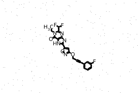 CCn1c(C(F)F)nc2nc(-c3cc(OCC#Cc4cccc(F)c4)no3)[nH]c2c1=O